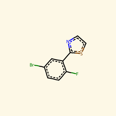 Fc1ccc(Br)cc1-c1nccs1